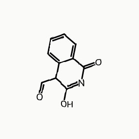 O=CC1C(O)=NC(=O)c2ccccc21